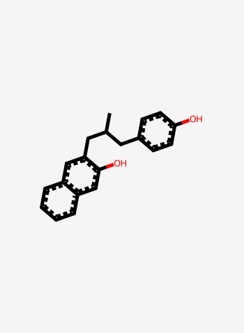 CC(Cc1ccc(O)cc1)Cc1cc2ccccc2cc1O